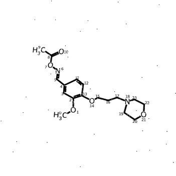 COc1cc(/C=N/OC(C)=O)ccc1OCCCN1CCOCC1